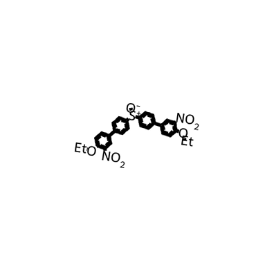 CCOc1ccc(-c2ccc([S+]([O-])c3ccc(-c4ccc(OCC)c([N+](=O)[O-])c4)cc3)cc2)cc1[N+](=O)[O-]